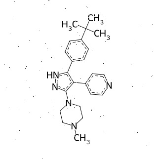 CN1CCN(c2n[nH]c(-c3ccc(C(C)(C)C)cc3)c2-c2ccncc2)CC1